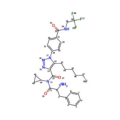 NC(Cc1ccccc1)C(=O)N(C(=O)c1nnn(-c2ccc(C(=O)NCC(F)(F)F)cc2)c1CCCCCF)C1CC1